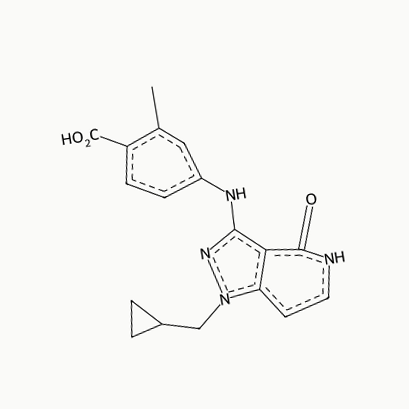 Cc1cc(Nc2nn(CC3CC3)c3cc[nH]c(=O)c23)ccc1C(=O)O